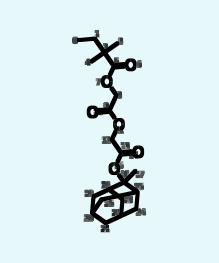 CCC(C)(C)C(=O)OCC(=O)OCC(=O)OC1(C)C2CC3CC(C2)CC1C3